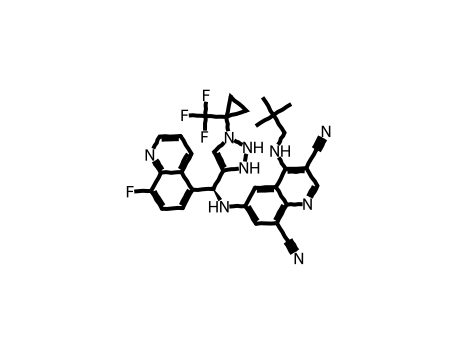 CC(C)(C)CNc1c(C#N)cnc2c(C#N)cc(N[C@H](C3=CN(C4(C(F)(F)F)CC4)NN3)c3ccc(F)c4ncccc34)cc12